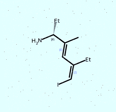 CCC(=C/I)/C=C(\C)[C@H](N)CC